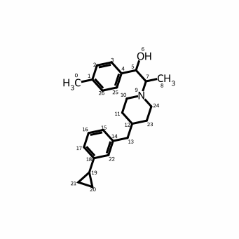 Cc1ccc(C(O)C(C)N2CCC(Cc3cccc(C4CC4)c3)CC2)cc1